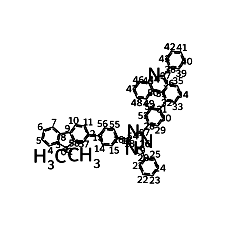 CC1(C)c2ccccc2-c2ccc(-c3ccc(-c4nc(-c5ccccc5)nc(-c5ccc(-c6cccc7c(-c8ccccc8)nc8ccccc8c67)cc5)n4)cc3)cc21